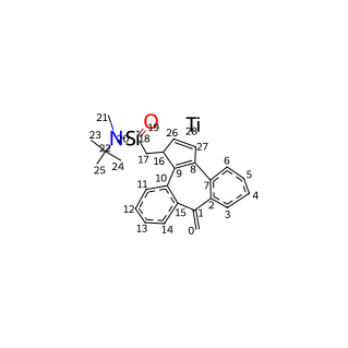 C=C1c2ccccc2C2=C(c3ccccc31)C(C[Si](=O)N(C)C(C)(C)C)C=C2.[Ti]